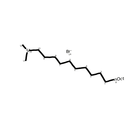 CCCCCCCCCCCCCCCCCC[S+](C)C.[Br-]